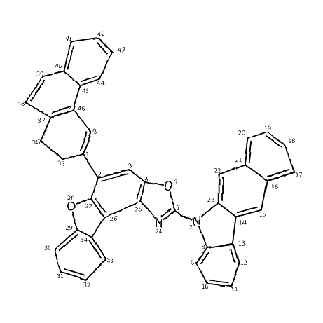 C1=C(c2cc3oc(-n4c5ccccc5c5cc6ccccc6cc54)nc3c3c2oc2ccccc23)CCc2ccc3ccccc3c21